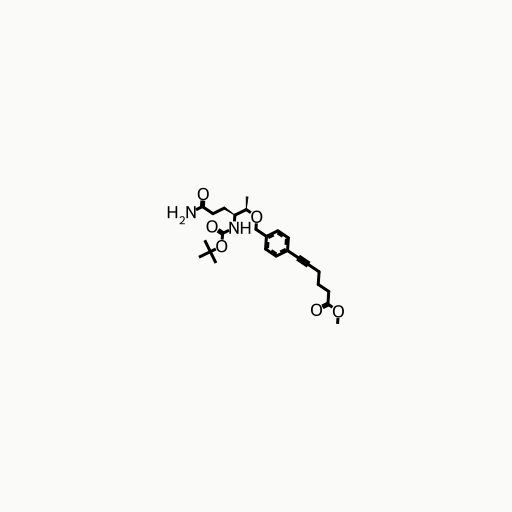 COC(=O)CCCC#Cc1ccc(CO[C@H](C)[C@H](CCC(N)=O)NC(=O)OC(C)(C)C)cc1